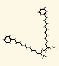 CCCCCCCCCCC(CCCCCCCCCCc1ccccc1)OOC(CCCCCCCCCC)CCCCCCCCCCc1ccccc1